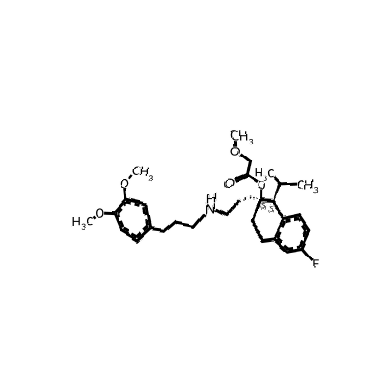 COCC(=O)O[C@]1(CCNCCCc2ccc(OC)c(OC)c2)CCc2cc(F)ccc2[C@@H]1C(C)C